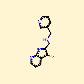 Brc1c(CNCc2cccnc2)[nH]c2ncccc12